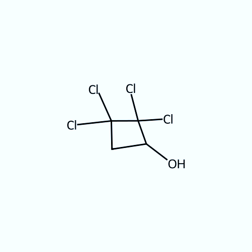 OC1CC(Cl)(Cl)C1(Cl)Cl